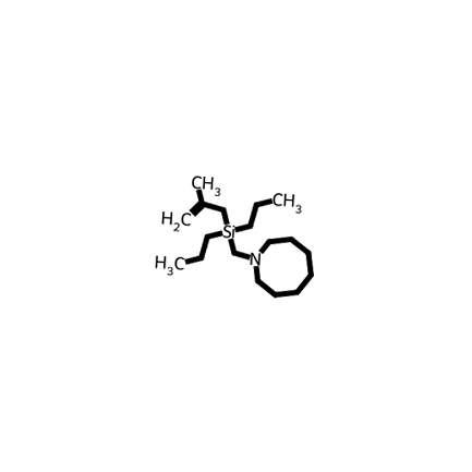 C=C(C)C[Si](CCC)(CCC)CN1CCCCCCC1